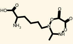 CC1NOC(=O)C(=O)ON1CCCCC(N)C(=O)O